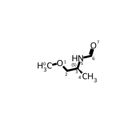 COC[C@H](C)NC=O